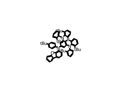 CC(C)(C)c1ccc(N(c2cc3c4c(c2)N(c2ccccc2C(C)(C)C)c2c(cccc2C(C)(C)C)B4c2cccc(C(C)(C)C)c2N3c2ccccc2C(C)(C)C)c2cccc3c2oc2ccccc23)cc1